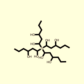 CCCC(O)C[CH](O)[Ti]([CH](O)CC(O)CCC)([CH](O)CC(O)CCC)[CH](O)CC(O)CCC